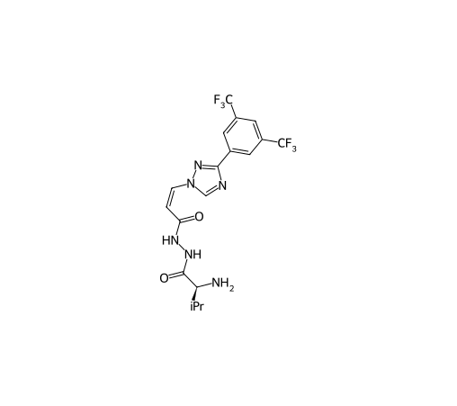 CC(C)[C@H](N)C(=O)NNC(=O)/C=C\n1cnc(-c2cc(C(F)(F)F)cc(C(F)(F)F)c2)n1